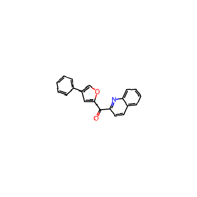 O=C(c1ccc2ccccc2n1)c1cc(-c2ccccc2)co1